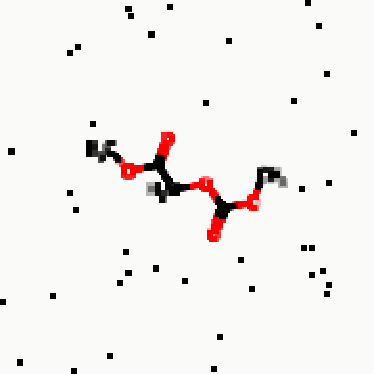 COC(=O)O[SiH2]C(=O)OC